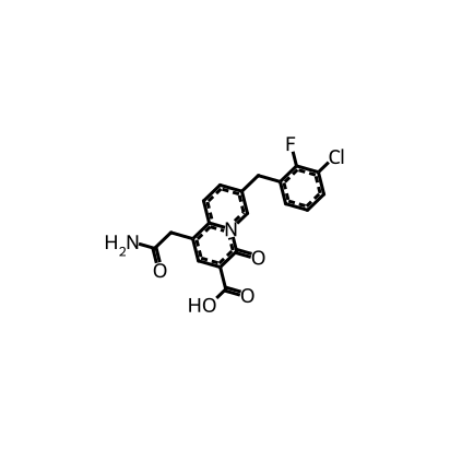 NC(=O)Cc1cc(C(=O)O)c(=O)n2cc(Cc3cccc(Cl)c3F)ccc12